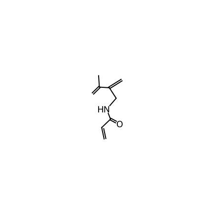 C=CC(=O)NCC(=C)C(=C)C